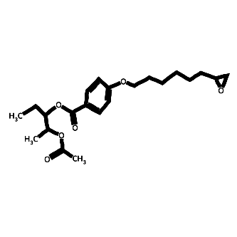 CCC(OC(=O)c1ccc(OCCCCCCC2CO2)cc1)C(C)OC(C)=O